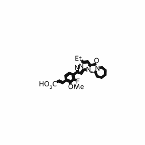 CCc1cc(C(=O)N2CCCCC[C@H]2C)nc2cc(-c3ccc(/C=C/C(=O)O)c(OC)c3F)nn12